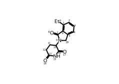 CCc1cccc2c1C(=O)N(C1CCC(=O)NC1=O)C2